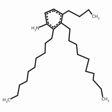 CCCCCCCCCCc1c(N)ccc(CCCC)c1CCCCCCCCCC